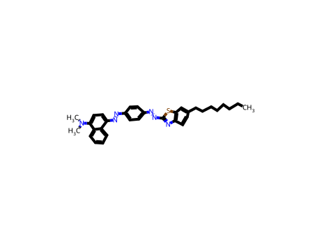 CCCCCCCCc1ccc2nc(N=Nc3ccc(N=Nc4ccc(N(C)C)c5ccccc45)cc3)sc2c1